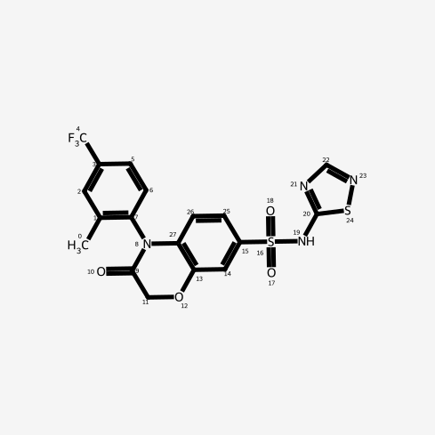 Cc1cc(C(F)(F)F)ccc1N1C(=O)COc2cc(S(=O)(=O)Nc3ncns3)ccc21